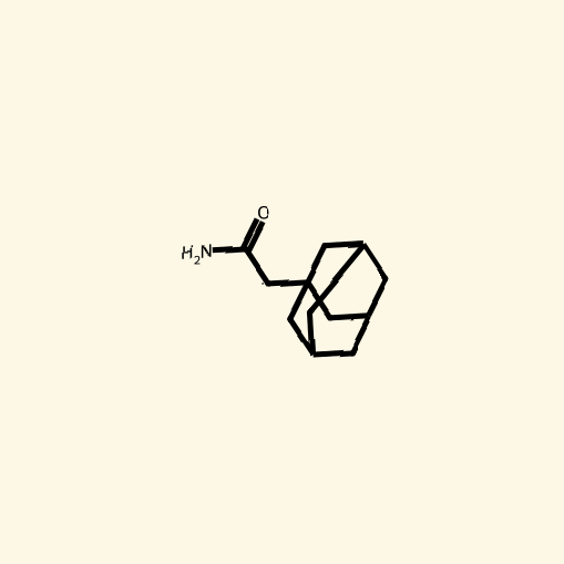 NC(=O)[CH]C12CC3CC(CC(C3)C1)C2